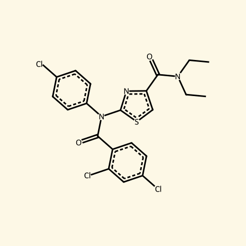 CCN(CC)C(=O)c1csc(N(C(=O)c2ccc(Cl)cc2Cl)c2ccc(Cl)cc2)n1